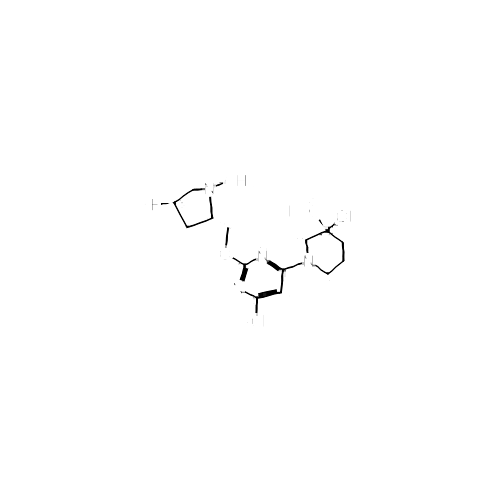 CN1C[C@H](F)C[C@H]1COc1nc(Cl)cc(N2CCC[C@@](C)(O)C2)n1